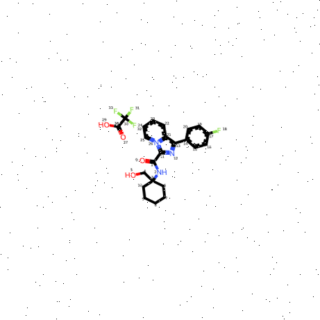 O=C(NC1(CO)CCCCC1)c1nc(-c2ccc(F)cc2)c2ccccn12.O=C(O)C(F)(F)F